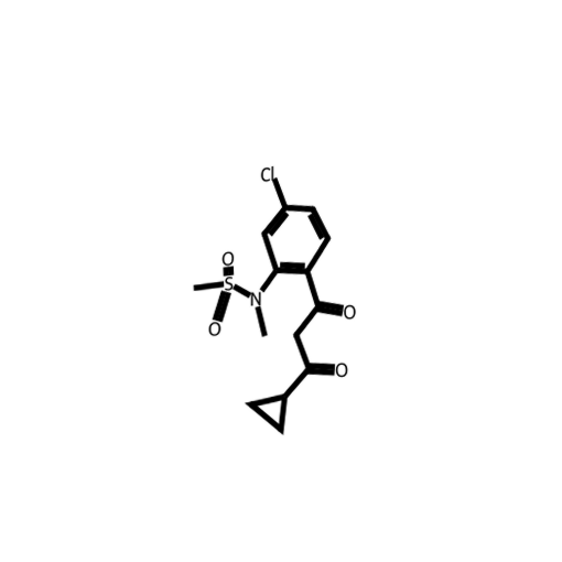 CN(c1cc(Cl)ccc1C(=O)CC(=O)C1CC1)S(C)(=O)=O